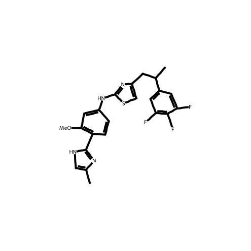 COc1cc(Nc2nc(CC(C)c3cc(F)c(F)c(F)c3)cs2)ccc1-c1nc(C)c[nH]1